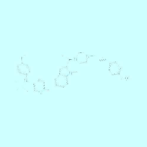 COc1ccc(/C=C/CN2CCN(C(=O)c3cc4cc(Oc5ccc(N(c6ccc(C(F)(F)F)cc6)S(C)(=O)=O)cn5)ccc4n3C)CC2)cc1